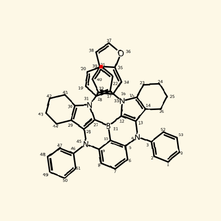 c1ccc(N2c3cccc4c3B(c3c2c2c(n3-c3ccccc3)CCCC2)c2c(c3c(n2-c2ccc5occc5c2)CCCC3)N4c2ccccc2)cc1